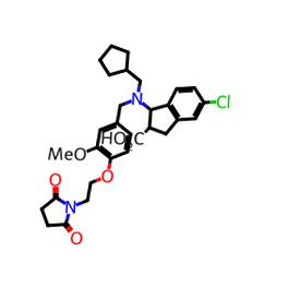 COc1cc(CN(CC2CCCC2)C2c3ccc(Cl)cc3CC2C(=O)O)ccc1OCCN1C(=O)CCC1=O